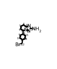 Nc1nc2cccc(-c3ccc(CBr)cc3)n2n1